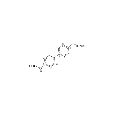 COCc1ccc(-c2ccc(OC=O)cc2)cc1